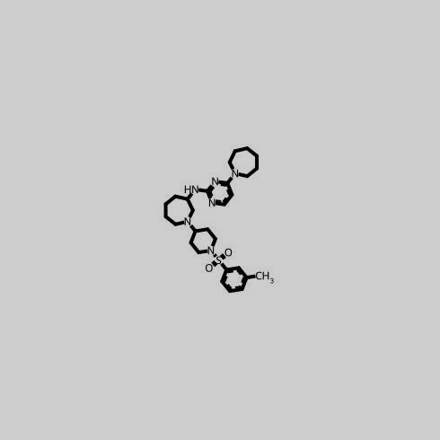 Cc1cccc(S(=O)(=O)N2CCC(N3CCCCC(Nc4nccc(N5CCCCCC5)n4)C3)CC2)c1